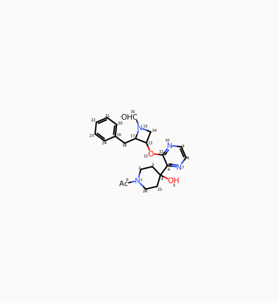 CC(=O)N1CCC(O)(c2nccnc2OC2CN([C]=O)C2Cc2ccccc2)CC1